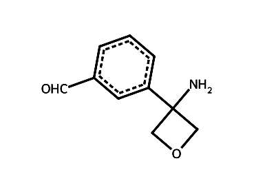 NC1(c2cccc(C=O)c2)COC1